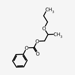 CCCOC(C)COC(=O)Oc1ccccc1